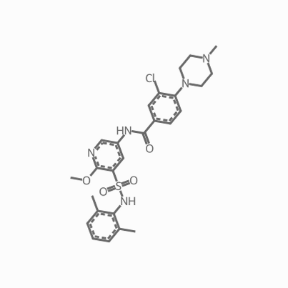 COc1ncc(NC(=O)c2ccc(N3CCN(C)CC3)c(Cl)c2)cc1S(=O)(=O)Nc1c(C)cccc1C